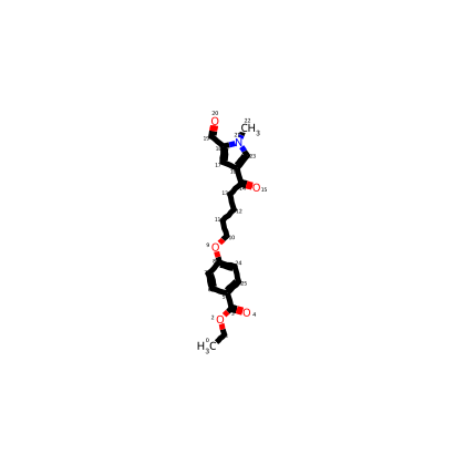 CCOC(=O)c1ccc(OCCCCC(=O)c2cc(C=O)n(C)c2)cc1